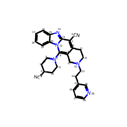 N#Cc1c2c(c(N3CCC(C#N)CC3)n3c1nc1ccccc13)CN(CCc1cccnc1)CC2